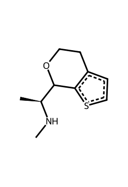 CN[C@@H](C)C1OCCc2ccsc21